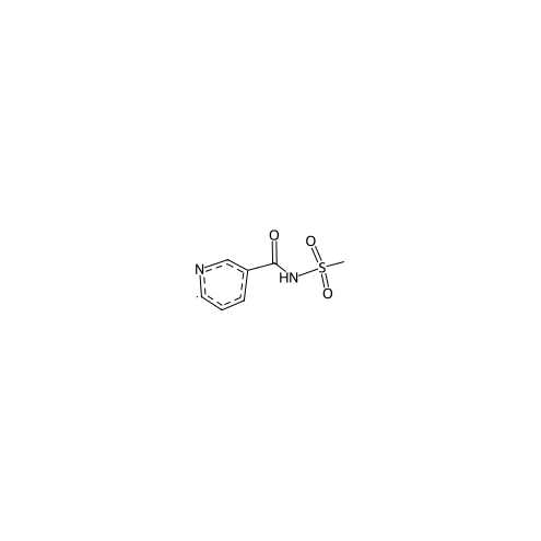 CS(=O)(=O)NC(=O)c1cc[c]nc1